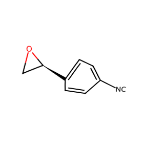 [C-]#[N+]c1ccc([C@H]2CO2)cc1